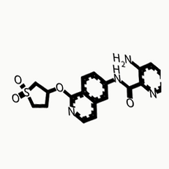 Nc1cccnc1C(=O)Nc1ccc2c(OC3CCS(=O)(=O)C3)nccc2c1